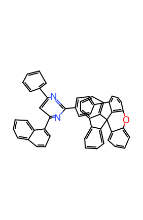 c1ccc(-c2cc(-c3cccc4ccccc34)nc(-c3ccc(-c4cccc5c4C4(c6ccccc6O5)c5ccccc5-c5ccccc54)cc3)n2)cc1